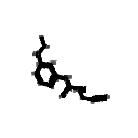 C#CCNC(=O)Sc1cccc(OCC)c1